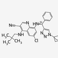 CC(C)(C)CNc1c(C#N)cnc2c(N[C@@H](c3ccccc3)c3cn(C45CC(C4)C5)nn3)cc(Cl)cc12